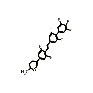 CC1CCC(c2cc(F)c(/C=C/c3cc(F)c(-c4cc(F)c(F)c(F)c4)c(F)c3)c(F)c2)=CO1